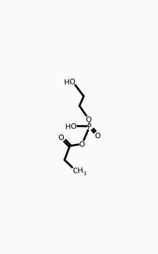 CCC(=O)OP(=O)(O)OCCO